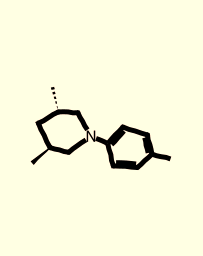 Cc1ccc(N2C[C@@H](C)C[C@H](C)C2)cc1